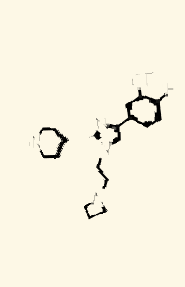 C[C@@H]1CNCC[C@@H]1c1nc(-c2ccc(F)c(C(F)(F)F)c2)cn1CCN1CCC1